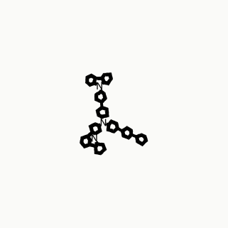 c1ccc(-c2ccc(-c3ccc(N(c4ccc(-c5ccc(-n6c7ccccc7c7ccccc76)cc5)cc4)c4ccc5c6cccc7c8ccccc8n(c5c4)c76)cc3)cc2)cc1